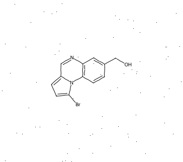 OCc1ccc2c(c1)ncc1ccc(Br)n12